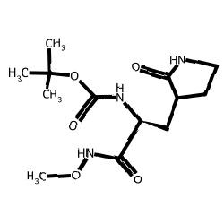 CONC(=O)[C@H](CC1CCNC1=O)NC(=O)OC(C)(C)C